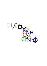 Cc1ccc(-c2csc(NC(=O)c3sc(-c4cccnc4)nc3Cl)n2)cc1